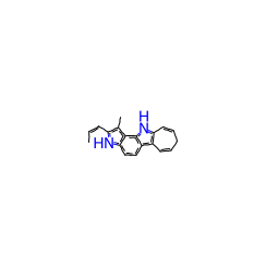 C/C=C\c1[nH]c2ccc3c4c([nH]c3c2c1C)C=CCC=C4